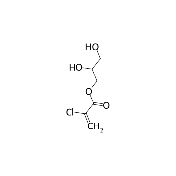 C=C(Cl)C(=O)OCC(O)CO